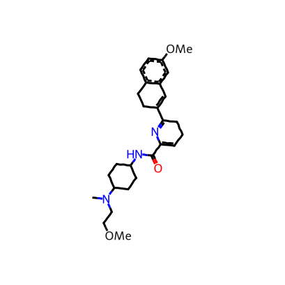 COCCN(C)C1CCC(NC(=O)C2=CCCC(C3=Cc4cc(OC)ccc4CC3)=N2)CC1